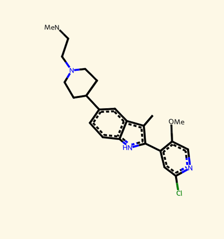 CNCCN1CCC(c2ccc3[nH]c(-c4cc(Cl)ncc4OC)c(C)c3c2)CC1